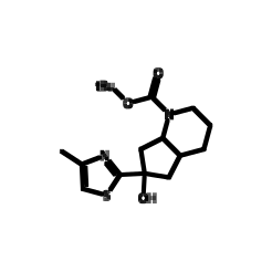 Cc1csc(C2(O)CC3CCCN(C(=O)OC(C)(C)C)C3C2)n1